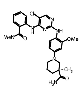 CNC(=O)c1ccccc1Nc1nc(Nc2ccc(N3CCC[C@](C)(C(N)=O)C3)cc2OC)ncc1Cl